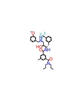 CCCN(CCC)C(=O)c1cc(C)cc(C(=O)N[C@@H](Cc2cccc(C(F)(F)F)c2)[C@H](O)CNCc2cccc(OC)c2)c1